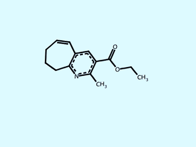 CCOC(=O)c1cc2c(nc1C)CCCC=C2